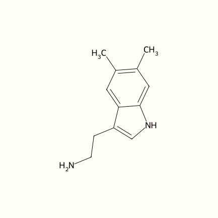 Cc1cc2[nH]cc(CCN)c2cc1C